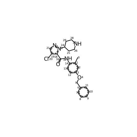 Cc1cc(OCc2ccccc2)ccc1NC(=O)c1c(Cl)cnn1C1CCNCC1